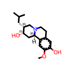 COc1cc2c(cc1O)CCN1C[C@@H](CC(C)C)[C@@H](O)C[C@H]21